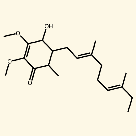 CC/C(C)=C/CC/C(C)=C/CC1C(C)C(=O)C(OC)=C(OC)C1O